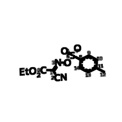 CCOC(=O)C(C#N)=NOS(=O)(=O)c1ccc(C)cc1